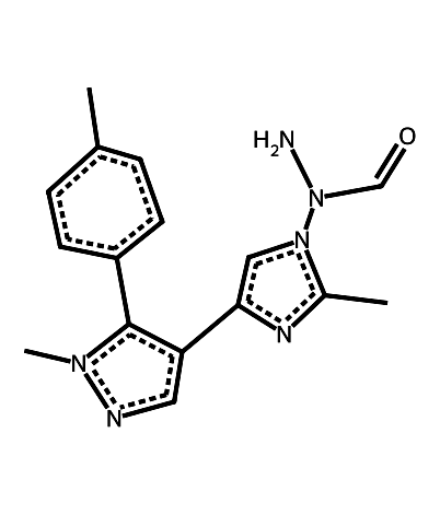 Cc1ccc(-c2c(-c3cn(N(N)C=O)c(C)n3)cnn2C)cc1